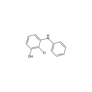 Oc1cccc(Nc2ccccc2)c1Cl